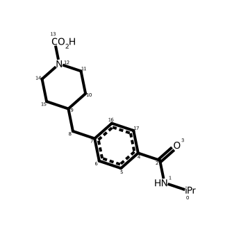 CC(C)NC(=O)c1ccc(CC2CCN(C(=O)O)CC2)cc1